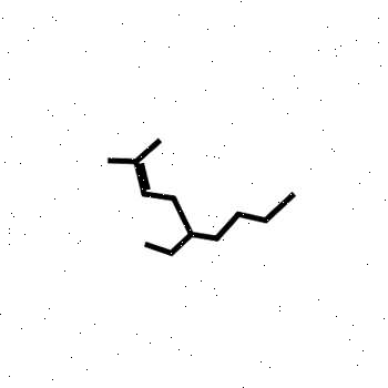 CCCCC(CC)CC=C(C)C